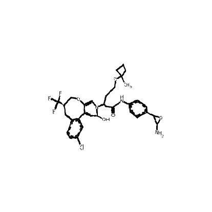 CC1(OCCC(C(=O)Nc2ccc(C3OC3N)cc2)N2C=C3OC[C@H](C(F)(F)F)Cc4ccc(Cl)cc4C3=CC2O)CCC1